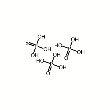 O=P(O)(O)O.O=P(O)(O)O.OP(O)(O)=S